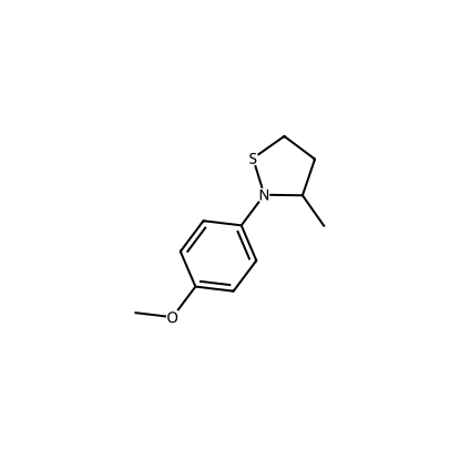 COc1ccc(N2SCCC2C)cc1